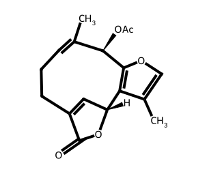 CC(=O)O[C@@H]1/C(C)=C\CCC2=C[C@@H](OC2=O)c2c(C)coc21